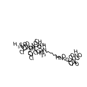 COc1ncc(C(=O)NCCCCCCCCNC(=O)COc2cccc3c2C(=O)N(C2CCC(=O)NC2=O)C3=O)cc1-c1nc2c(n1C(C)C)[C@H](c1ccc(Cl)cc1)N(c1cc(Cl)cn(C)c1=O)C2=O